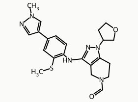 CSc1cc(-c2cnn(C)c2)ccc1Nc1nn(C2CCOC2)c2c1CN(C=O)CC2